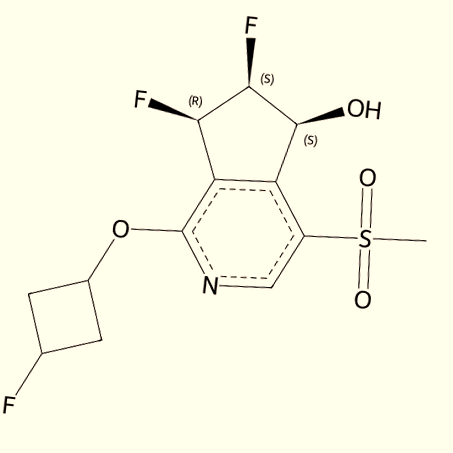 CS(=O)(=O)c1cnc(OC2CC(F)C2)c2c1[C@H](O)[C@H](F)[C@@H]2F